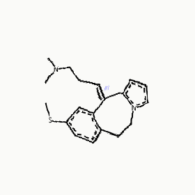 CSc1ccc2c(c1)/C(=C\CCN(C)C)c1cccn1CC2